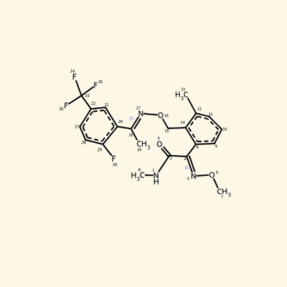 CNC(=O)/C(=N/OC)c1cccc(C)c1CO/N=C(\C)c1cc(C(F)(F)F)ccc1F